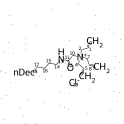 C=CC[N+](CC=C)(CC=C)CC(=O)NCCCCCCCCCCCCCC.[Cl-]